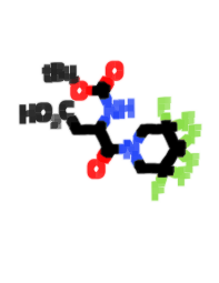 CC(C)(C)OC(=O)NC(CC(=O)O)C(=O)N1CC(F)(F)C(F)(F)C(F)(F)C1